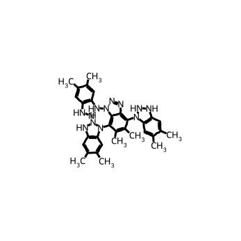 Cc1cc2c(cc1C)N(c1c(C)c(C)c(N3NNc4cc(C)c(C)cc43)c3c1nnn3N1NNc3cc(C)c(C)cc31)NN2